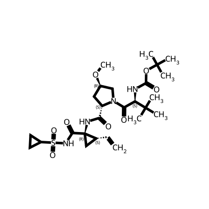 C=C[C@@H]1C[C@]1(NC(=O)[C@@H]1C[C@@H](OC)CN1C(=O)[C@@H](NC(=O)OC(C)(C)C)C(C)(C)C)C(=O)NS(=O)(=O)C1CC1